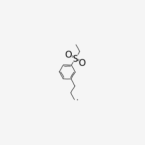 [CH2]CCc1cccc(S(=O)(=O)CC)c1